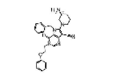 N#Cc1c(N2CCC[C@H](N)C2)n(Cc2ccccc2)c2c(=O)n(CCOc3ccccc3)cnc12